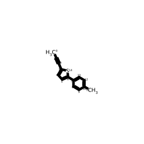 CC#Cc1ccc(-c2ccc(C)cc2)s1